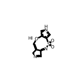 I.O=S1(=O)/N=C2/C=NC/C2=C/Oc2c[nH]cc21